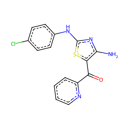 Nc1nc(Nc2ccc(Cl)cc2)sc1C(=O)c1ccccn1